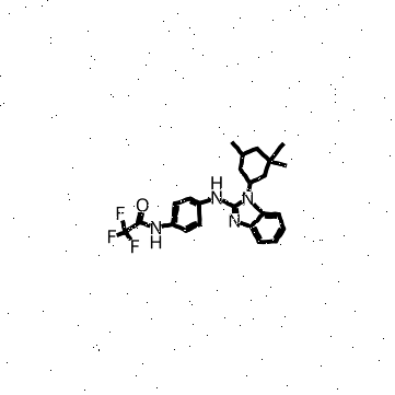 CC1CC(n2c(Nc3ccc(NC(=O)C(F)(F)F)cc3)nc3ccccc32)CC(C)(C)C1